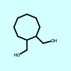 OCC1CCCCCCC1CO